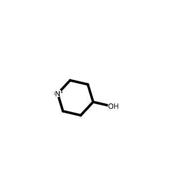 OC1CC[N+]CC1